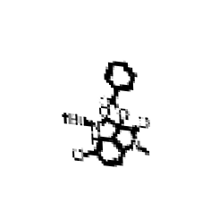 CN1C(=O)C(OC(=O)c2ccccc2)(C(=O)NC(C)(C)C)c2cc(Cl)ccc21